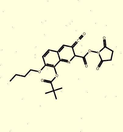 CCCCOc1ccc2c(c1OC(=O)C(C)(C)C)=NC(C(=O)ON1C(=O)CCC1=O)C(=C=O)C=2